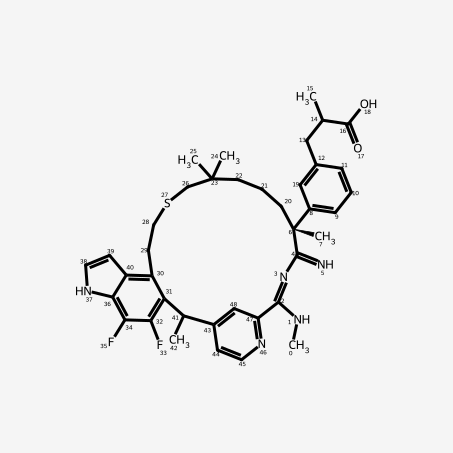 CN/C1=N\C(=N)[C@@](C)(c2cccc(CC(C)C(=O)O)c2)CCCC(C)(C)CSCCc2c(c(F)c(F)c3[nH]ccc23)C(C)c2ccnc1c2